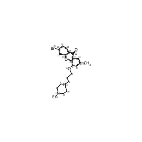 CCN1CCN(CCCOc2cc(C)cc3c(=O)c4ccc(Br)cc4oc23)CC1